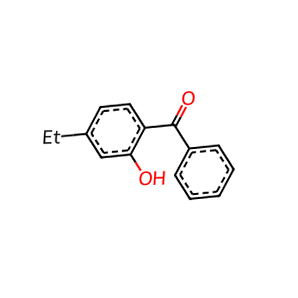 CCc1ccc(C(=O)c2ccccc2)c(O)c1